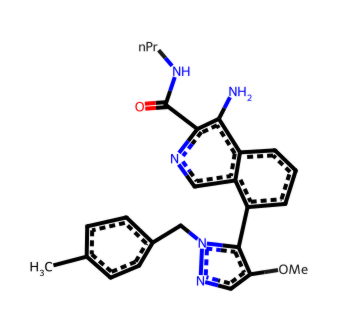 CCCNC(=O)c1ncc2c(-c3c(OC)cnn3Cc3ccc(C)cc3)cccc2c1N